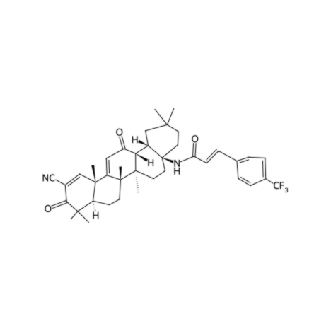 CC1(C)CC[C@]2(NC(=O)/C=C/c3ccc(C(F)(F)F)cc3)CC[C@]3(C)[C@H](C(=O)C=C4[C@@]5(C)C=C(C#N)C(=O)C(C)(C)[C@@H]5CC[C@]43C)[C@@H]2C1